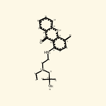 CCN(CCNc1ccc(C)c2sc3ccccc3c(=O)c12)CC(C)(C)O